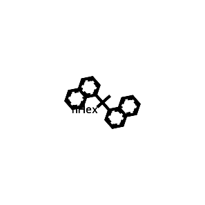 [CH2]CCCCCC(C)(c1cccc2ccccc12)c1cccc2ccccc12